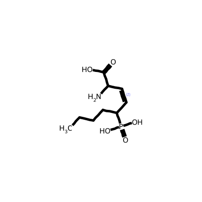 CCCCC(/C=C\C(N)C(=O)O)P(=O)(O)O